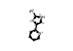 CC(C)c1nc(-c2ccccn2)c[nH]1